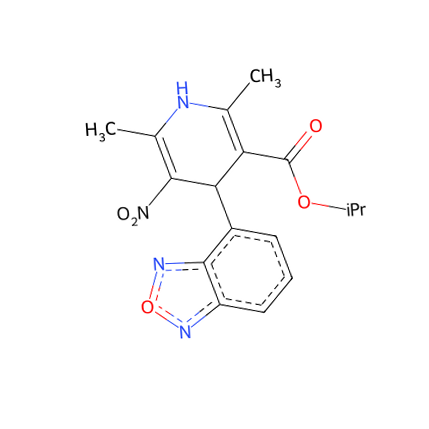 CC1=C(C(=O)OC(C)C)C(c2cccc3nonc23)C([N+](=O)[O-])=C(C)N1